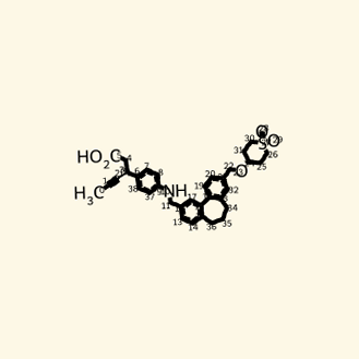 CC#C[C@@H](CC(=O)O)c1ccc(NCc2ccc3c(c2)-c2ccc(COC4CCS(=O)(=O)CC4)cc2CCC3)cc1